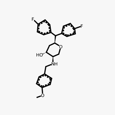 COc1ccc(CN[C@@H]2CO[C@H](C(c3ccc(F)cc3)c3ccc(F)cc3)C[C@H]2O)cc1